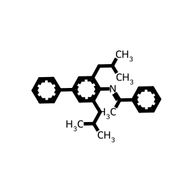 C/C(=N\c1c(CC(C)C)cc(-c2ccccc2)cc1CC(C)C)c1ccccc1